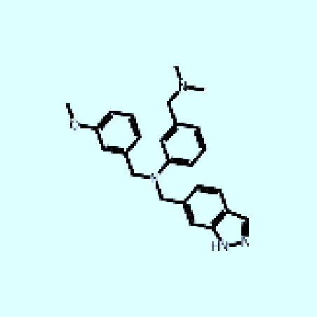 COc1cccc(CN(Cc2ccc3cn[nH]c3c2)c2cccc(CN(C)C)c2)c1